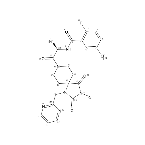 CC(C)[C@@H](NC(=O)c1cc(C(F)(F)F)ccc1F)C(=O)N1CCC2(CC1)C(=O)N(C)C(=O)N2Cc1ncccn1